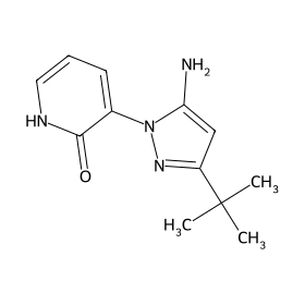 CC(C)(C)c1cc(N)n(-c2ccc[nH]c2=O)n1